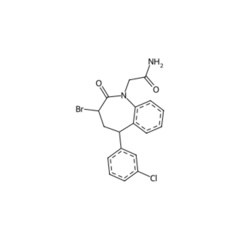 NC(=O)CN1C(=O)C(Br)CC(c2cccc(Cl)c2)c2ccccc21